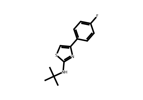 CC(C)(C)Nc1nc(-c2ccc(F)cc2)cs1